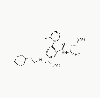 COCCN(CCC1CCCCC1)Cc1ccc(C(=O)N[C@H](C=O)CCSC)c(-c2ccccc2C)c1